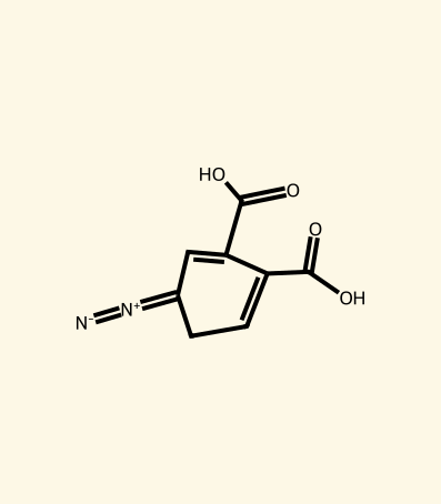 [N-]=[N+]=C1C=C(C(=O)O)C(C(=O)O)=CC1